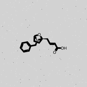 O=C(O)/C=C/C[C@]12CCC(O1)N2Cc1ccccc1